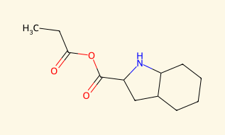 CCC(=O)OC(=O)C1CC2CCCCC2N1